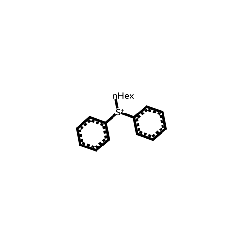 CCCCCC[S+](c1ccccc1)c1ccccc1